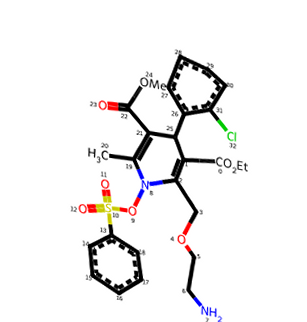 CCOC(=O)C1=C(COCCN)N(OS(=O)(=O)c2ccccc2)C(C)=C(C(=O)OC)C1c1ccccc1Cl